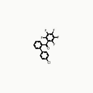 O=C(c1ccccc1-c1ccc(Cl)cc1)c1c(F)c(F)c(F)c(F)c1F